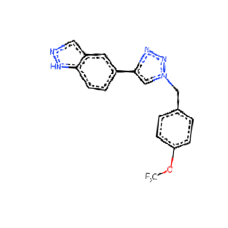 FC(F)(F)Oc1ccc(Cn2cc(-c3ccc4[nH]ncc4c3)nn2)cc1